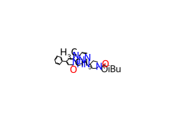 CC(C)COC(=O)N1CCC(Nc2nccc(N(C)c3cc(-c4ccccc4)cc(=O)n3C)n2)CC1